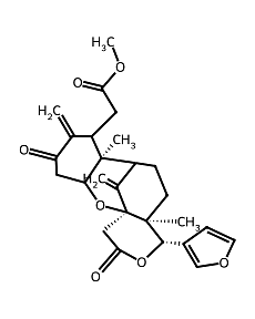 C=C1C(=O)CC2O[C@]34CC(=O)O[C@@H](c5ccoc5)[C@]3(C)CCC(C4=C)[C@]2(C)C1CC(=O)OC